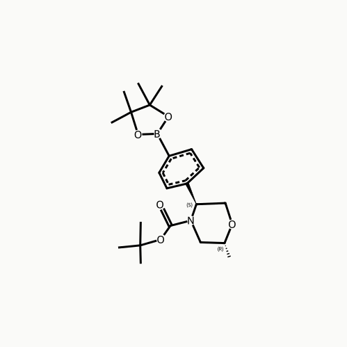 C[C@@H]1CN(C(=O)OC(C)(C)C)[C@@H](c2ccc(B3OC(C)(C)C(C)(C)O3)cc2)CO1